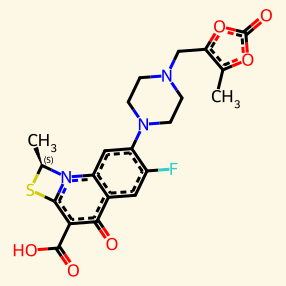 Cc1oc(=O)oc1CN1CCN(c2cc3c(cc2F)c(=O)c(C(=O)O)c2n3[C@H](C)S2)CC1